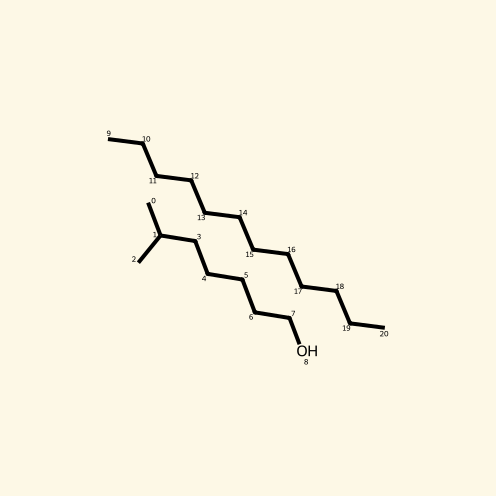 CC(C)CCCCCO.CCCCCCCCCCCC